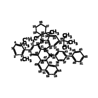 Cc1cccc(C)c1-c1cc2c3c(c1)N1c4c(cc(C(C)(C)C)cc4C4(C)CCCCC14C)B3N(c1ccc(-c3ccccc3)cc1)c1c-2ccc2ccccc12